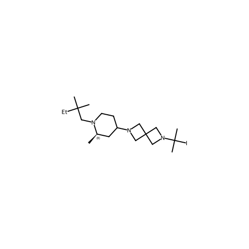 CCC(C)(C)CN1CCC(N2CC3(C2)CN(C(C)(C)I)C3)C[C@H]1C